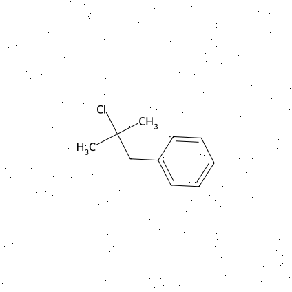 CC(C)(Cl)Cc1[c]cccc1